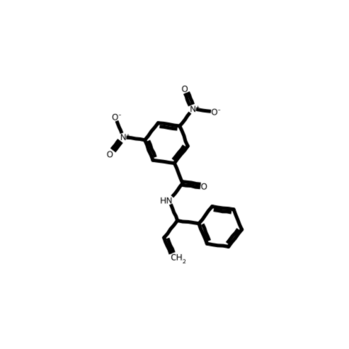 C=CC(NC(=O)c1cc([N+](=O)[O-])cc([N+](=O)[O-])c1)c1ccccc1